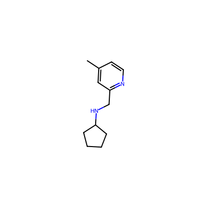 Cc1ccnc(CNC2CCCC2)c1